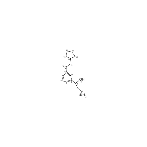 NCCC(O)c1cccc(OCC2CCCC2)c1